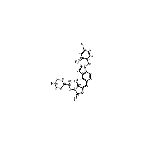 O=C1SC(=Cc2ccc3c(cnn3Cc3ccc(Cl)cc3C(F)(F)F)c2)C(=O)N1CC(O)C1CCNCC1